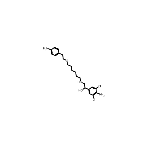 Nc1ccc(CCOCCCCCCNCC(O)c2cc(Cl)c(N)c(Cl)c2)cc1